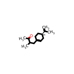 C=C(C)[C@H]1CC=C(CC(C)C(C)=O)CC1